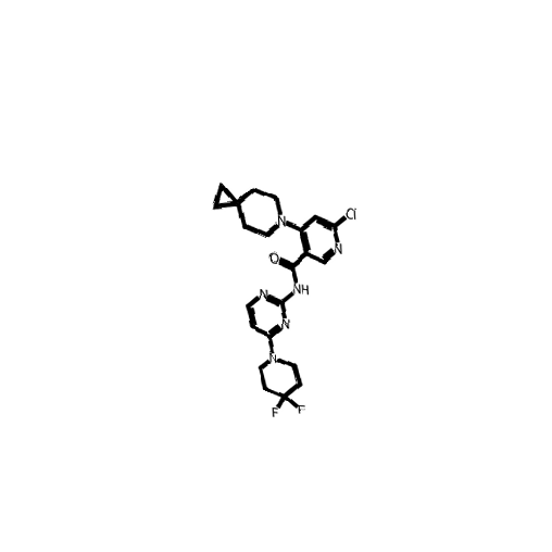 O=C(Nc1nccc(N2CCC(F)(F)CC2)n1)c1cnc(Cl)cc1N1CCC2(CC1)CC2